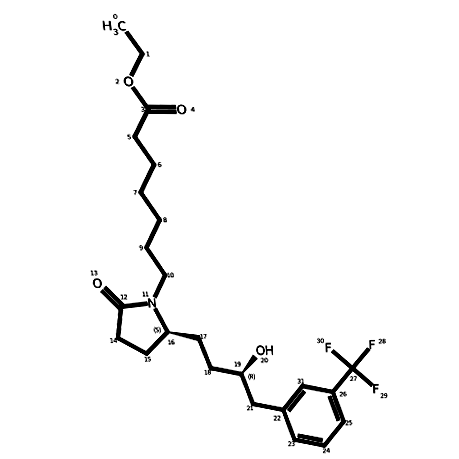 CCOC(=O)CCCCCCN1C(=O)CC[C@@H]1CC[C@@H](O)Cc1cccc(C(F)(F)F)c1